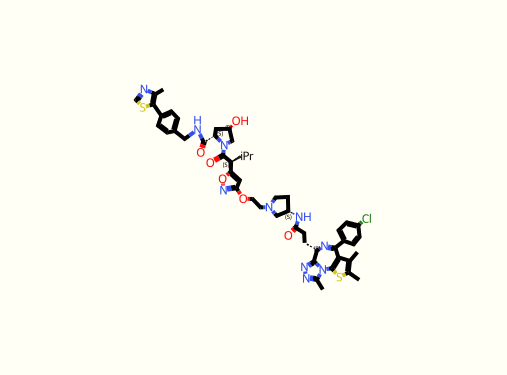 Cc1ncsc1-c1ccc(CNC(=O)[C@@H]2C[C@@H](O)CN2C(=O)[C@H](c2cc(OCCN3CC[C@H](NC(=O)CC[C@@H]4N=C(c5ccc(Cl)cc5)c5c(sc(C)c5C)-n5c(C)nnc54)C3)no2)C(C)C)cc1